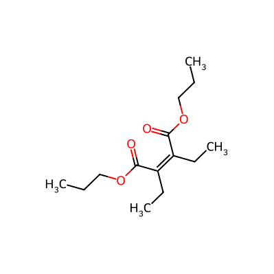 CCCOC(=O)/C(CC)=C(/CC)C(=O)OCCC